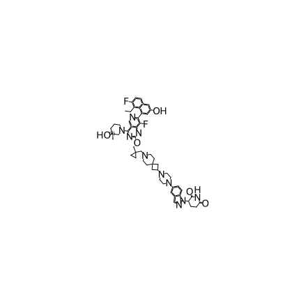 CCc1c(F)ccc2cc(O)cc(-c3ncc4c(N5CCC[C@@](C)(O)C5)nc(OCC5(CN6CCC7(CC6)CC(N6CCN(c8ccc9c(cnn9C9CCC(=O)NC9=O)c8)CC6)C7)CC5)nc4c3F)c12